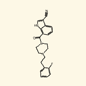 N#Cc1c[nH]c2c(C(=O)N3CCN(CCc4ccccc4F)CC3)cccc12